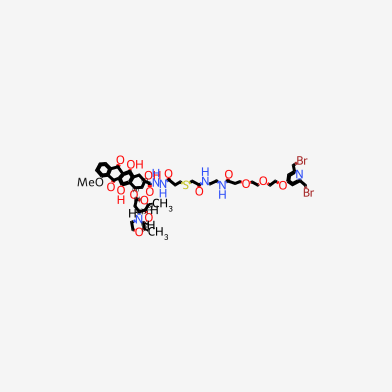 COc1cccc2c1C(=O)c1c(O)c3c(c(O)c1C2=O)C[C@@](O)(C(=O)NNC(=O)CCSCC(=O)NCCNC(=O)CCOCCOCCOc1cc(CBr)nc(CBr)c1)C[C@@H]3O[C@H]1C[C@H]2[C@H](O[C@@H]3[C@@H](C)OCCN32)[C@H](C)O1